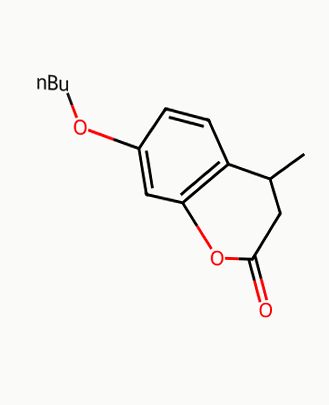 CCCCOc1ccc2c(c1)OC(=O)CC2C